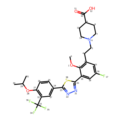 COc1c(CCN2CCC(C(=O)O)CC2)cc(F)cc1-c1nnc(-c2ccc(OC(C)C)c(C(F)(F)F)c2)s1